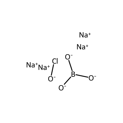 [Na+].[Na+].[Na+].[Na+].[O-]B([O-])[O-].[O-]Cl